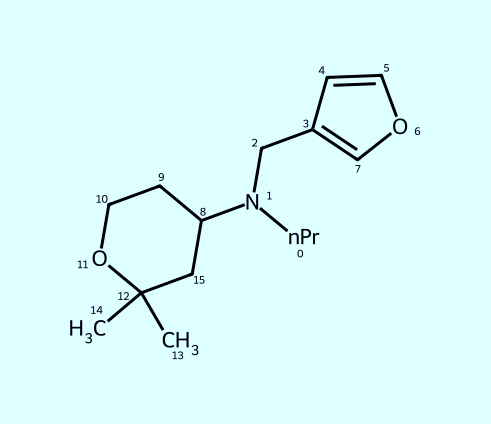 CCCN(Cc1ccoc1)C1CCOC(C)(C)C1